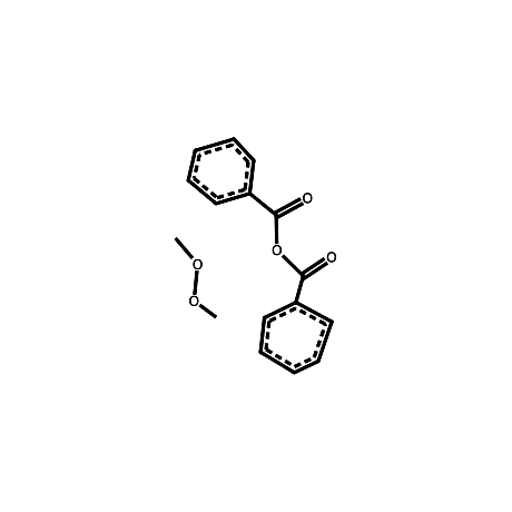 COOC.O=C(OC(=O)c1ccccc1)c1ccccc1